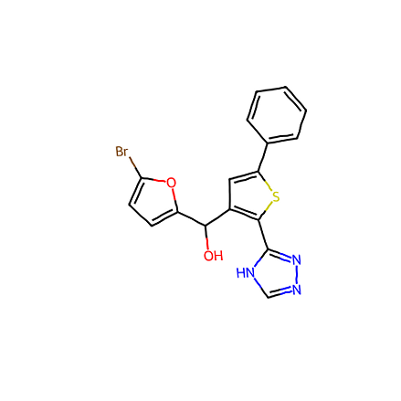 OC(c1ccc(Br)o1)c1cc(-c2ccccc2)sc1-c1nnc[nH]1